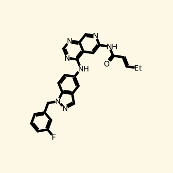 CC/C=C/C(=O)Nc1cc2c(Nc3ccc4c(cnn4Cc4cccc(F)c4)c3)ncnc2cn1